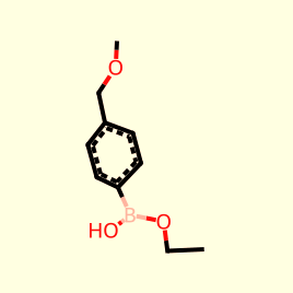 CCOB(O)c1ccc(COC)cc1